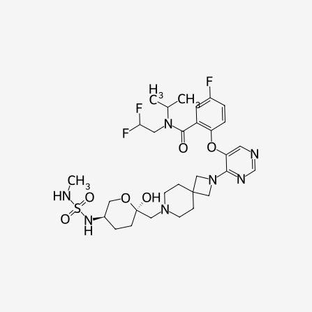 CNS(=O)(=O)N[C@@H]1CC[C@](O)(CN2CCC3(CC2)CN(c2ncncc2Oc2ccc(F)cc2C(=O)N(CC(F)F)C(C)C)C3)OC1